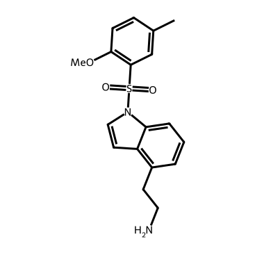 COc1ccc(C)cc1S(=O)(=O)n1ccc2c(CCN)cccc21